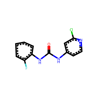 O=C(Nc1ccnc(Cl)c1)Nc1ccccc1F